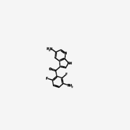 Nc1cnc2[nH]cc(C(=O)c3c(F)ccc(N)c3F)c2c1